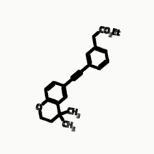 CCOC(=O)Cc1cccc(C#Cc2ccc3c(c2)C(C)(C)CCO3)c1